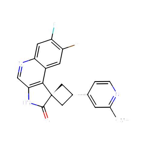 COc1cc([C@H]2C[C@@]3(C2)C(=O)Nc2cnc4cc(F)c(Br)cc4c23)ccn1